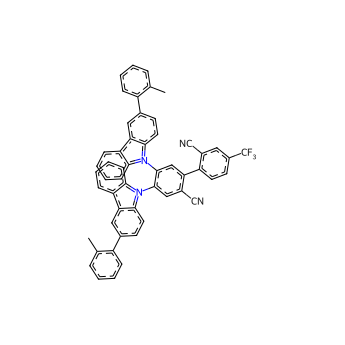 Cc1ccccc1-c1ccc2c(c1)c1ccccc1n2-c1cc(C#N)c(-c2ccc(C(F)(F)F)cc2C#N)cc1-n1c2ccccc2c2cc(-c3ccccc3C)ccc21